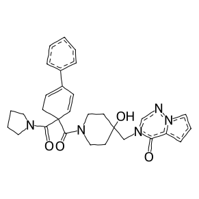 O=C(N1CCCC1)C1(C(=O)N2CCC(O)(Cn3cnn4cccc4c3=O)CC2)C=CC(c2ccccc2)=CC1